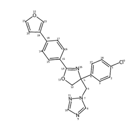 Clc1ccc(C2(Cn3cncn3)COC(c3ccc(-c4ccoc4)cc3)=N2)cc1